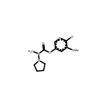 COc1cc(OC(=O)N(C)N2CCCC2)cnc1Cl